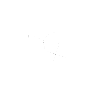 BN(S)BC(C)(C)C